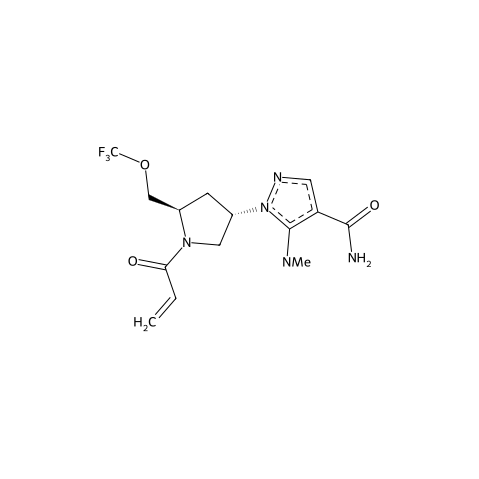 C=CC(=O)N1C[C@@H](n2ncc(C(N)=O)c2NC)C[C@@H]1COC(F)(F)F